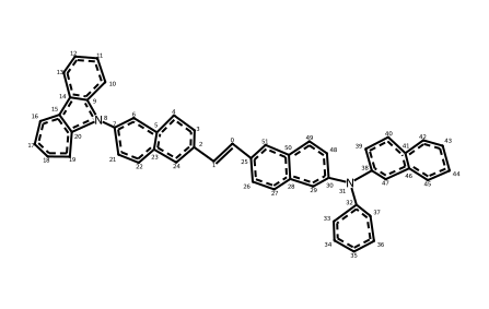 C(=C\c1ccc2cc(-n3c4ccccc4c4ccccc43)ccc2c1)/c1ccc2cc(N(c3ccccc3)c3ccc4ccccc4c3)ccc2c1